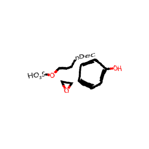 C1CO1.CCCCCCCCCCCCOS(=O)(=O)O.Oc1ccccc1